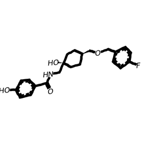 O=C(NC[C@]1(O)CC[C@H](COCc2ccc(F)cc2)CC1)c1ccc(O)cc1